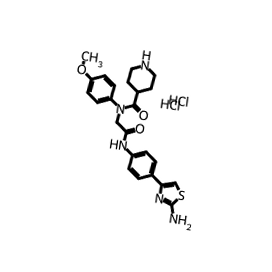 COc1ccc(N(CC(=O)Nc2ccc(-c3csc(N)n3)cc2)C(=O)C2CCNCC2)cc1.Cl.Cl